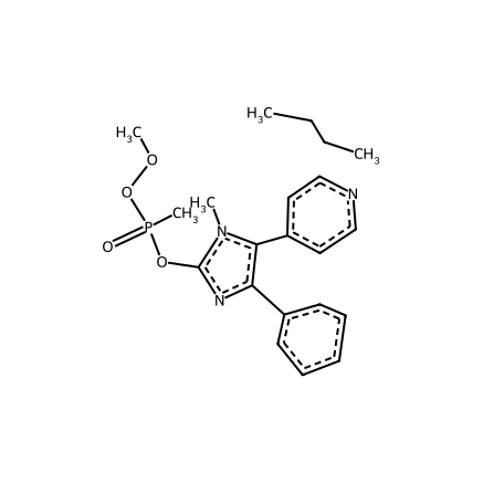 CCCC.COOP(C)(=O)Oc1nc(-c2ccccc2)c(-c2ccncc2)n1C